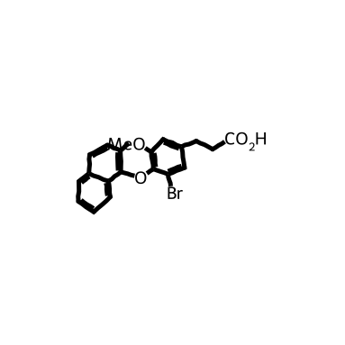 COc1cc(CCC(=O)O)cc(Br)c1Oc1c(C)ccc2ccccc12